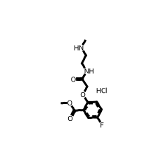 CNCCNC(=O)COc1ccc(F)cc1C(=O)OC.Cl